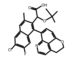 Cc1cc2cc(Cl)c(F)cc2c(-c2ccc3c4c(ccnc24)CCO3)c1C(OC(C)(C)C)C(=O)O